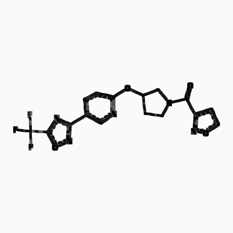 O=C(c1ccon1)N1CCC(Oc2ccc(-c3noc(C(F)(F)F)n3)cn2)C1